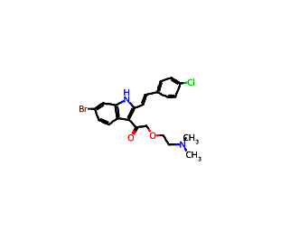 CN(C)CCOCC(=O)c1c(/C=C/c2ccc(Cl)cc2)[nH]c2cc(Br)ccc12